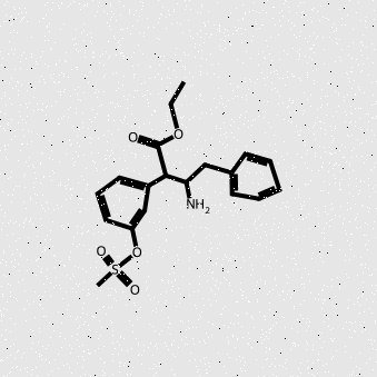 CCOC(=O)C(c1cccc(OS(C)(=O)=O)c1)C(N)Cc1ccccc1